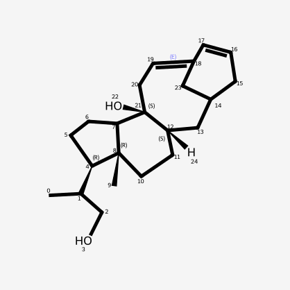 CC(CO)[C@H]1CCC2[C@]1(C)CC[C@H]1CC3CC=C/C(=C/C[C@@]21O)C3